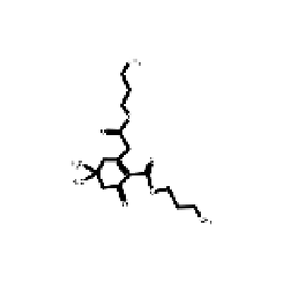 CCCCOC(=O)CC1=C(C(=O)OCCCC)C(=O)CC(C)(C)C1